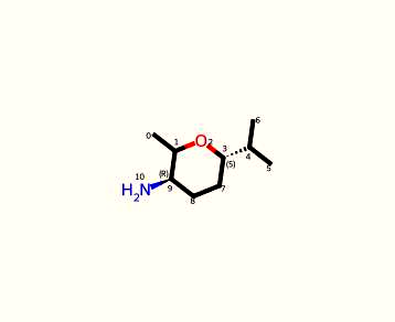 CC1O[C@H](C(C)C)CC[C@H]1N